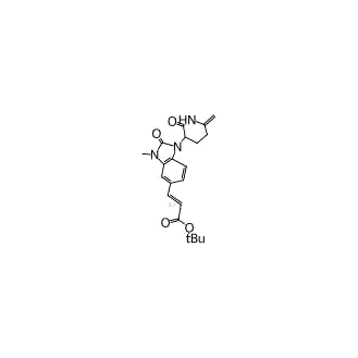 C=C1CCC(n2c(=O)n(C)c3cc(/C=C/C(=O)OC(C)(C)C)ccc32)C(=O)N1